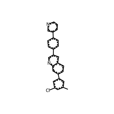 Cc1cc(Cl)cc(-c2ccc3cc(-c4ccc(-c5cccnc5)cc4)cnc3c2)c1